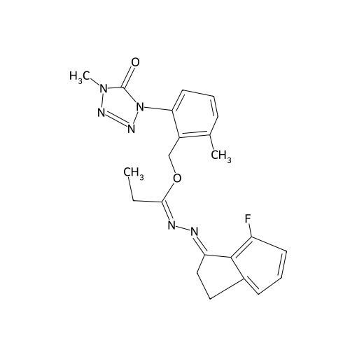 CCC(=N/N=C1\CCc2cccc(F)c21)OCc1c(C)cccc1-n1nnn(C)c1=O